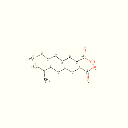 CC(C)CCCCCC(=O)O.CCCCCCCC(=O)O